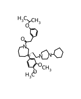 COc1ccc([C@@]2(CCN3CCN(C4CCCCC4)CC3)CCCCN(C(=O)Cc3cccc(OC(C)C)c3)C2)cc1OC